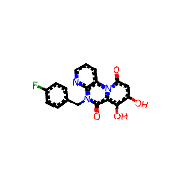 O=c1c2c(O)c(O)cc(=O)n2c2cccnc2n1Cc1ccc(F)cc1